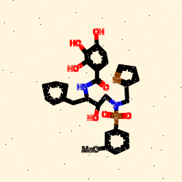 COc1cccc(S(=O)(=O)N(Cc2cccs2)CC(O)C(Cc2ccccc2)NC(=O)c2ccc(O)c(O)c2O)c1